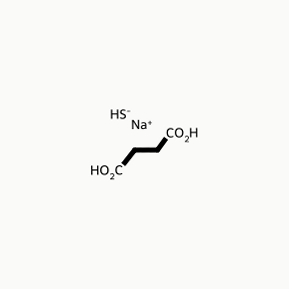 O=C(O)CCC(=O)O.[Na+].[SH-]